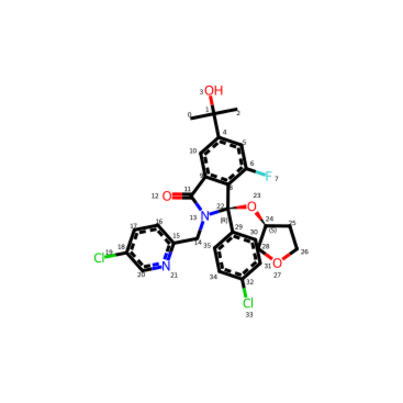 CC(C)(O)c1cc(F)c2c(c1)C(=O)N(Cc1ccc(Cl)cn1)[C@@]2(O[C@H]1CCOC1)c1ccc(Cl)cc1